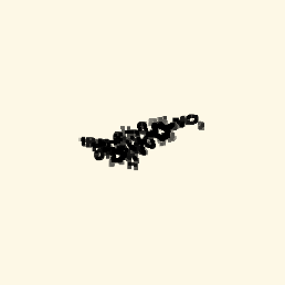 CC(C)(C)OC(=O)N1CC[C@H](NC(=NC(=O)OC(=O)c2ccc([N+](=O)[O-])cc2)NS(C)(=O)=O)C1